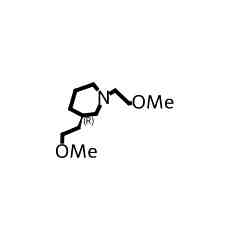 COCC[C@H]1CCCN(CCOC)C1